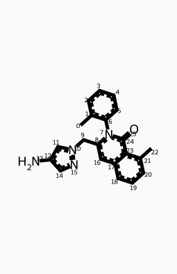 Cc1ccccc1-n1c(Cn2cc(N)cn2)cc2cccc(C)c2c1=O